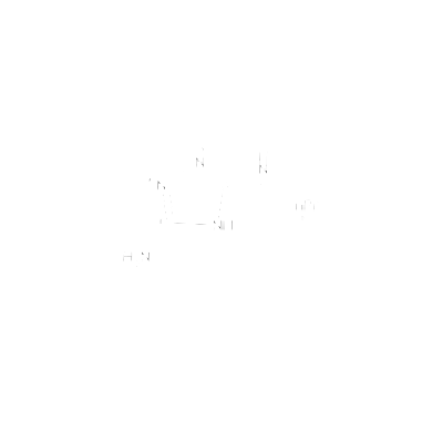 CCCNc1nnc(N)[nH]1